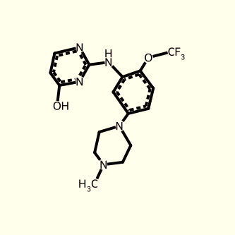 CN1CCN(c2ccc(OC(F)(F)F)c(Nc3nccc(O)n3)c2)CC1